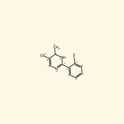 CC1NC(c2ccccc2F)=NC=C1Cl